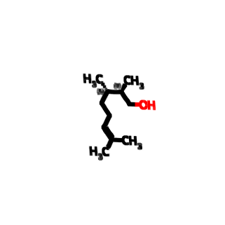 CC(C)=CCC[C@H](C)[C@@H](C)CO